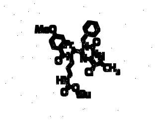 COc1ccc(C(=O)N(CCCNC(=O)OC(C)(C)C)C(c2nc3c(Cl)c(C)nn3c(=O)n2Cc2ccccc2)C(C)C)cc1